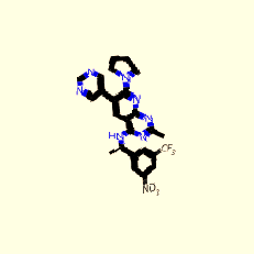 Cc1nc(N[C@H](C)c2cc([N+](=O)[O-])cc(C(F)(F)F)c2)c2cc(-c3cncnc3)c(N3CCCC3)nc2n1